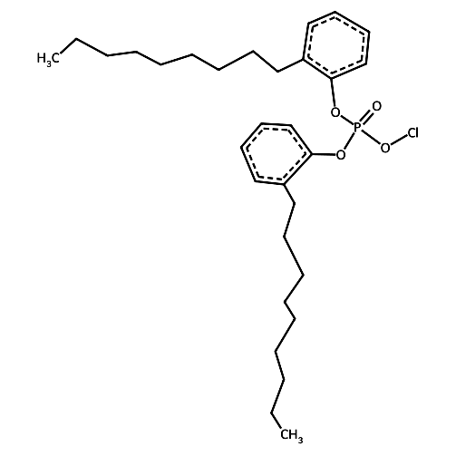 CCCCCCCCCc1ccccc1OP(=O)(OCl)Oc1ccccc1CCCCCCCCC